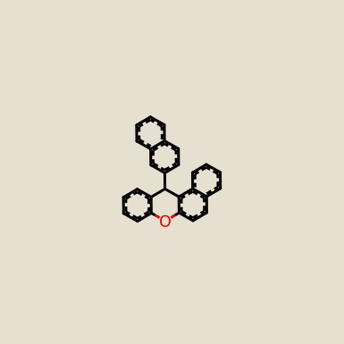 c1ccc2c(c1)Oc1ccc3ccccc3c1C2c1ccc2ccccc2c1